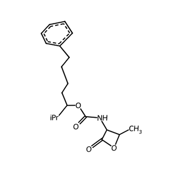 CC(C)C(CCCCc1ccccc1)OC(=O)NC1C(=O)OC1C